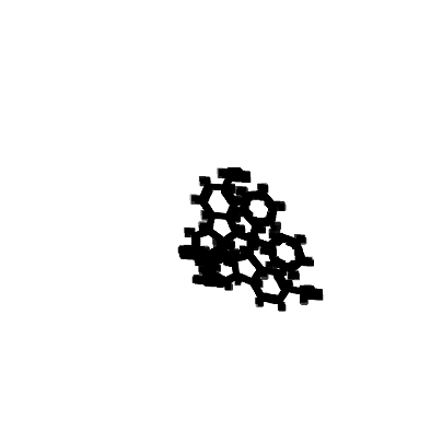 CC(C)(C)C1=CC2C(C=C1)C1C=CC(C(C)(C)C)=CC1C2[Si](c1ccccc1)(c1ccccc1)C1C2C=C(C(C)(C)C)C=CC2C2C=CC(C(C)(C)C)=CC21